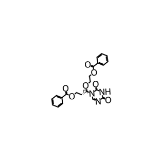 O=C(OCCO[C@@H](CCOC(=O)c1ccccc1)n1cnc(=O)[nH]c1=O)c1ccccc1